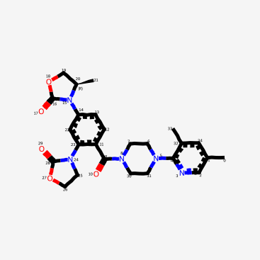 Cc1cnc(N2CCN(C(=O)c3ccc(N4C(=O)OC[C@H]4C)cc3N3CCOC3=O)CC2)c(C)c1